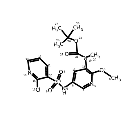 COc1ncc(NS(=O)(=O)c2cccnc2Cl)cc1N(C)C(=O)OC(C)(C)C